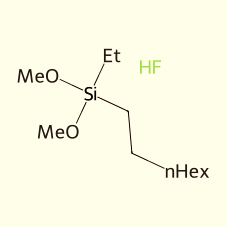 CCCCCCCC[Si](CC)(OC)OC.F